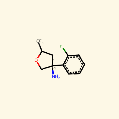 N[C@@]1(c2ccccc2F)COC(C(F)(F)F)C1